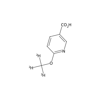 [2H]C([2H])([2H])Oc1ccc(C(=O)O)cn1